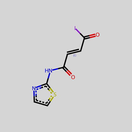 O=C(I)/C=C/C(=O)Nc1nccs1